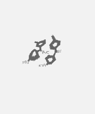 CCCCc1ccc(C(C(C)=O)c2cccc(C)c2)cc1.CCCc1ccc(C(C(C)=O)c2ccc(C)cc2)cc1